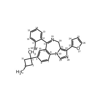 CC1CC(C)(c2ccc3c(c2)C(c2ccccc2Br)=NCc2c(-c4ccco4)ncn2-3)C1